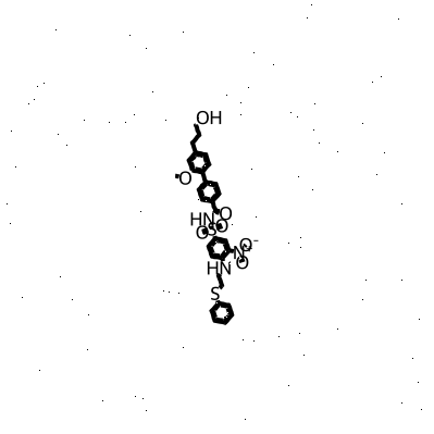 COc1cc(CCCO)ccc1-c1ccc(C(=O)NS(=O)(=O)c2ccc(NCCSc3ccccc3)c([N+](=O)[O-])c2)cc1